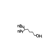 CCCC[C@H](CCC)CCCCO